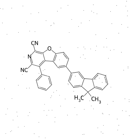 CC1(C)c2ccccc2-c2cc(-c3ccc4oc5c(C#N)nc(C#N)c(-c6ccccc6)c5c4c3)ccc21